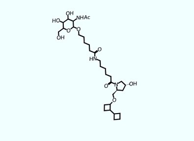 CC(=O)NC1C(OCCCCCC(=O)NCCCCCC(=O)N2C[C@H](O)C[C@H]2COC2CCC2C2CCC2)OC(CO)C(O)C1O